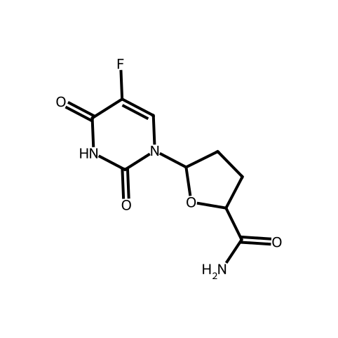 NC(=O)C1CCC(n2cc(F)c(=O)[nH]c2=O)O1